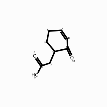 O=C(O)CC1CCC=CC1=O